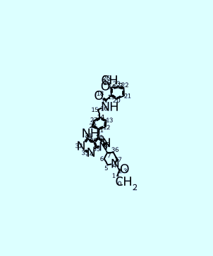 C=CC(=O)N1CCC(n2nc(-c3ccc(CNC(=O)c4ccccc4OC)cc3)c3c(N)ncnc32)CC1